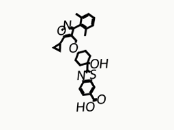 Cc1cccc(C)c1-c1noc(C2CC2)c1COC1CCC(O)(c2nc3ccc(C(=O)O)cc3s2)CC1